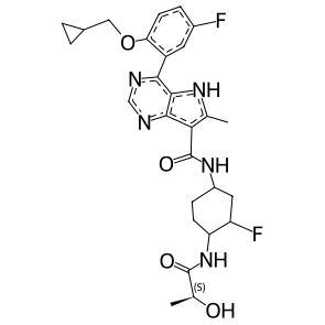 Cc1[nH]c2c(-c3cc(F)ccc3OCC3CC3)ncnc2c1C(=O)NC1CCC(NC(=O)[C@H](C)O)C(F)C1